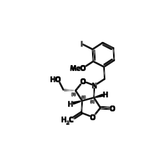 C=C1OC(=O)[C@@H]2[C@H]1[C@H](CO)ON2Cc1cccc(I)c1OC